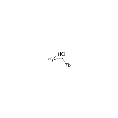 C[CH2][Tb].Cl